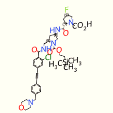 C[Si](C)(C)CCOC(=O)N1C[C@H](NC(=O)[C@@H]2C[C@H](F)CN2C(=O)O)C[C@@H]1CNC(=O)c1ccc(C#Cc2ccc(CN3CCOCC3)cc2)cc1Cl